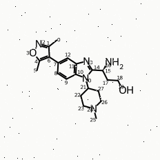 Cc1noc(C)c1-c1ccc2c(c1)nc([C@@H](N)CCO)n2C1CCN(C)CC1